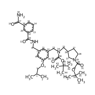 CC(C)COc1cc(CNC(=O)c2cccc(C(N)=O)c2)cc(CN(CC2CCN(C(=O)OC(C)(C)C)C2)C(=O)OC(C)(C)C)c1